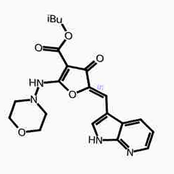 CCC(C)OC(=O)C1=C(NN2CCOCC2)O/C(=C\c2c[nH]c3ncccc23)C1=O